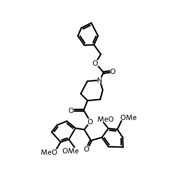 COc1cccc(C(=O)C(OC(=O)C2CCN(C(=O)OCc3ccccc3)CC2)c2cccc(OC)c2OC)c1OC